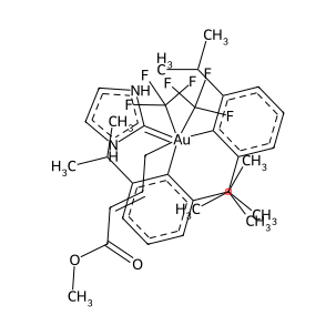 COC(=O)C=C[CH2][Au]([c]1c(C(C)C)cccc1C(C)C)([c]1c(C(C)C)cccc1C(C)C)(=[c]1[nH]cc[nH]1)([C](F)(F)F)[C](F)(F)F